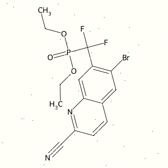 CCOP(=O)(OCC)C(F)(F)c1cc2nc(C#N)ccc2cc1Br